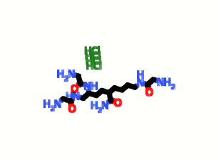 Cl.Cl.Cl.Cl.NCC(=O)NCCCCC(CCC(CNC(=O)CN)NC(=O)CN)C(N)=O